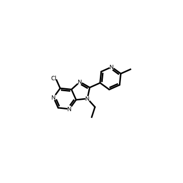 CCn1c(-c2ccc(C)nc2)nc2c(Cl)ncnc21